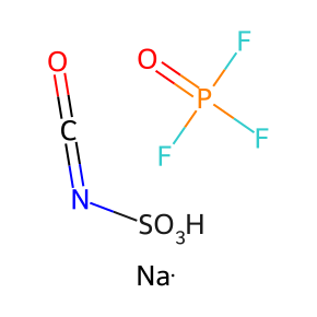 O=C=NS(=O)(=O)O.O=P(F)(F)F.[Na]